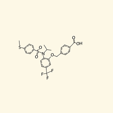 CSc1ccc(S(=O)(=O)N(c2ccc(C(F)(F)F)cc2OCc2ccc(C(=O)O)cc2)C(C)C)cc1